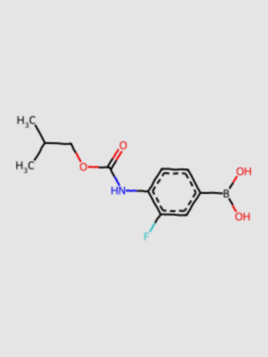 CC(C)COC(=O)Nc1ccc(B(O)O)cc1F